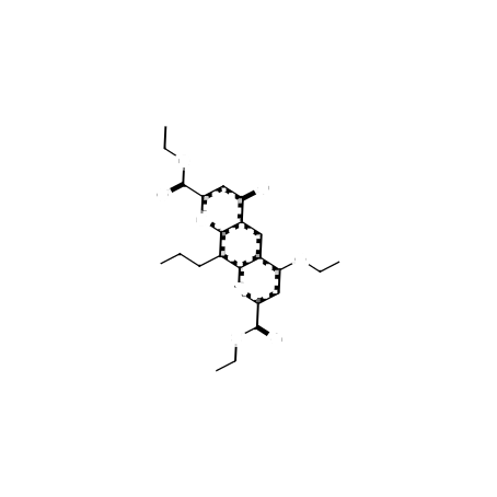 CCCc1c2nc(C(=O)OCC)cc(OCC)c2cc2c(=O)cc(C(=O)OCC)oc12